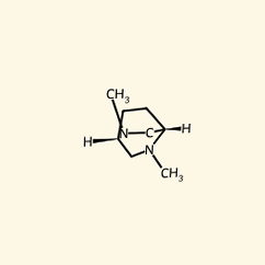 CN1C[C@@H]2CC[C@H]1CN2C